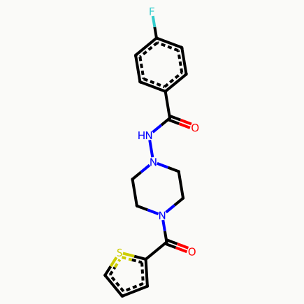 O=C(NN1CCN(C(=O)c2cccs2)CC1)c1ccc(F)cc1